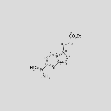 C=C(N)c1ccc2c(ccn2CCC(=O)OCC)c1